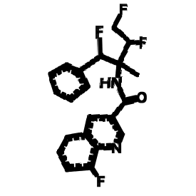 CC(NC(=O)c1cnc2c(F)cccc2c1)(C(F)CF)C(F)c1ccccc1